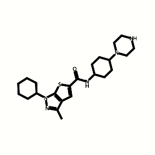 Cc1nn(C2CCCCC2)c2sc(C(=O)NC3CCC(N4CCNCC4)CC3)cc12